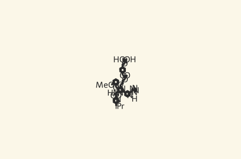 COc1ccccc1Oc1c(NS(=O)(=O)c2ccc(C(C)C)cn2)nc(-c2ccnc(-c3nnn[nH]3)c2)nc1OCCOC(=O)Oc1ccc(CON(O)O)cc1